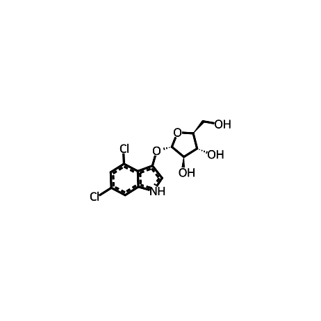 OC[C@@H]1O[C@@H](Oc2c[nH]c3cc(Cl)cc(Cl)c23)[C@H](O)[C@H]1O